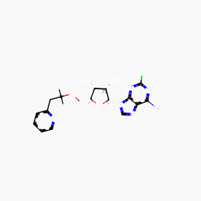 Nc1nc(Cl)nc2c1ncn2[C@@H]1O[C@H](COC(Cc2ccccn2)(C(=O)O)C(=O)O)[C@@H](O)[C@H]1O